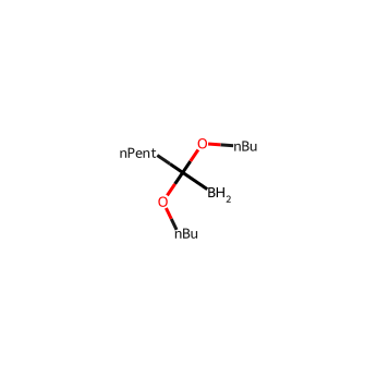 BC(CCCCC)(OCCCC)OCCCC